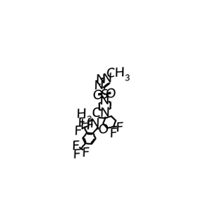 CC(NC(=O)c1ccc(C(F)(F)F)cc1C(F)(F)F)C1(N2CCN(S(=O)(=O)c3cn(C)nn3)CC2)CCC(F)(F)CC1